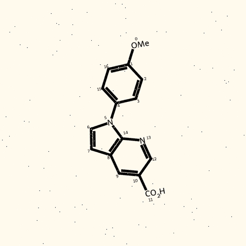 COc1ccc(-n2ccc3cc(C(=O)O)cnc32)cc1